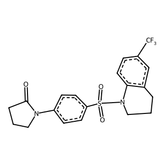 O=C1CCCN1c1ccc(S(=O)(=O)N2CCCc3cc(C(F)(F)F)ccc32)cc1